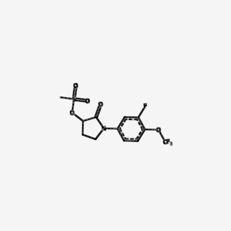 CS(=O)(=O)OC1CCN(c2ccc(OC(F)(F)F)c(F)c2)C1=O